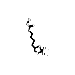 CCOC(=S)SCCCCC1COC(C)(C)O1